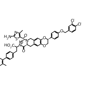 Cc1nc(N)sc1S(=O)(=O)N1Cc2cc3c(cc2C[C@H]1C(=O)NC(Cc1ccc(-c2ccnc(C)c2C)cc1)C(=O)O)OC[C@H](c1ccc(OCc2ccc(Cl)c(Cl)c2)cc1)O3